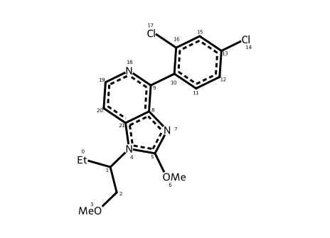 CCC(COC)n1c(OC)nc2c(-c3ccc(Cl)cc3Cl)nccc21